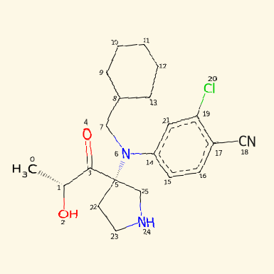 C[C@@H](O)C(=O)[C@]1(N(CC2CCCCC2)c2ccc(C#N)c(Cl)c2)CCNC1